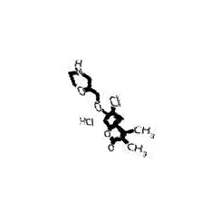 Cc1c(C)c2cc(Cl)c(OCC3CNCCO3)cc2oc1=O.Cl